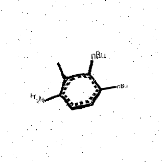 CCCCc1ccc(N)c(C)c1CCCC